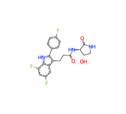 O=C(CCc1c(-c2ccc(F)cc2)[nH]c2c(F)cc(F)cc12)N[C@H]1C(=O)NC[C@@H]1O